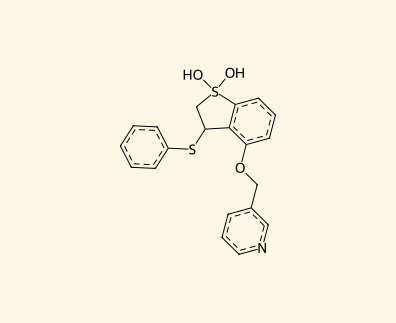 OS1(O)CC(Sc2ccccc2)c2c(OCc3cccnc3)cccc21